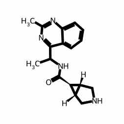 Cc1nc(C(C)NC(=O)[C@H]2[C@@H]3CNC[C@@H]32)c2ccccc2n1